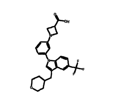 O=C(O)C1CN(c2cccc(-n3cc(CC4CCOCC4)c4cc(C(F)(F)F)ccc43)c2)C1